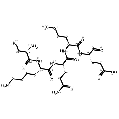 CSCC[C@H](NC(=O)[C@H](CCC(N)=O)NC(=O)[C@H](CCCCN)NC(=O)[C@@H](N)CO)C(=O)N[C@H]([C]=O)CCC(=O)O